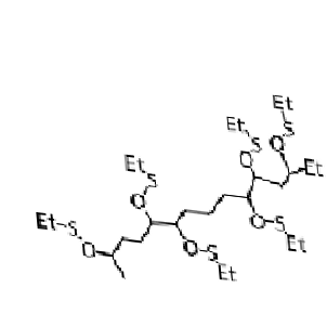 CCSOC(C)CCC(OSCC)C(CCCC(OSCC)C(CC(CC)OSCC)OSCC)OSCC